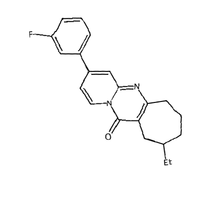 CCC1CCCc2nc3cc(-c4cccc(F)c4)ccn3c(=O)c2C1